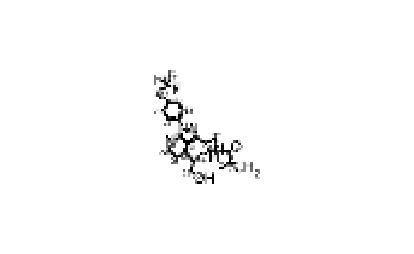 C=C(F)C(=O)N1CC(c2nn(-c3ccc(OC(F)(F)F)cc3)c3nccc([C@H](O)CO)c23)C1